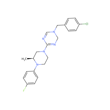 C[C@H]1CN(C2=NCN(Cc3ccc(Cl)cc3)C=N2)CCN1c1ccc(F)cc1